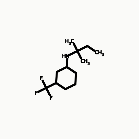 CCC(C)(C)NC1CCCC(C(F)(F)F)C1